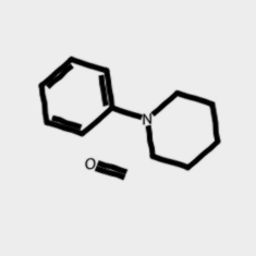 C=O.c1ccc(N2CCCCC2)cc1